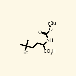 CCCCOC(=O)NC(CCC(C)(C)CC)C(=O)O